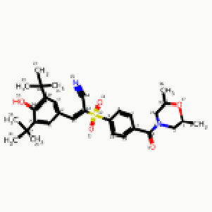 CC1CN(C(=O)c2ccc(S(=O)(=O)/C(C#N)=C/c3cc(C(C)(C)C)c(O)c(C(C)(C)C)c3)cc2)CC(C)O1